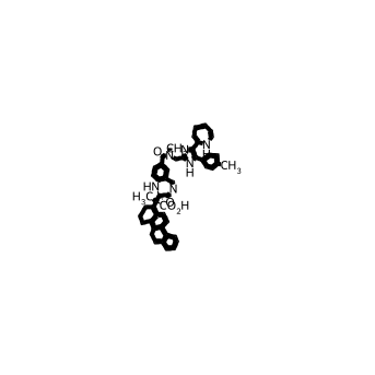 Cc1ccc(-c2[nH]c(CN(C)C(=O)c3ccc4c(c3)C=NC(=O)[C@H]([C@@](C)(C(=O)O)C3=c5ccc6c(c5CCC3)CC=c3ccccc3=6)N4)nc2C2=CC=CC=CN2)cc1